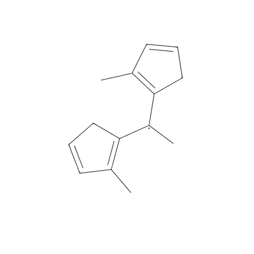 C[C](C1=C(C)C=CC1)C1=C(C)C=CC1